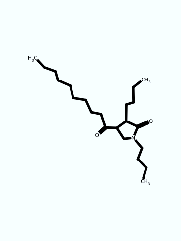 CCCCCCCCCC(=O)C1CN(CCCC)C(=O)C1CCCC